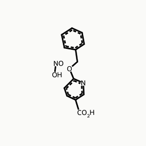 O=C(O)c1ccc(OCc2ccccc2)nc1.O=NO